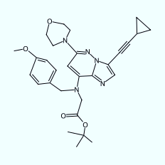 COc1ccc(CN(CC(=O)OC(C)(C)C)c2cc(N3CCOCC3)nn3c(C#CC4CC4)cnc23)cc1